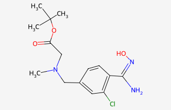 CN(CC(=O)OC(C)(C)C)Cc1ccc(/C(N)=N\O)c(Cl)c1